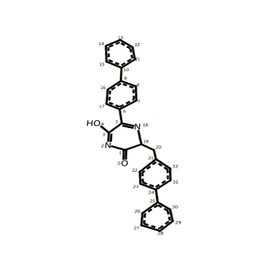 O=C1N=C(O)C(c2ccc(-c3ccccc3)cc2)=NC1Cc1ccc(-c2ccccc2)cc1